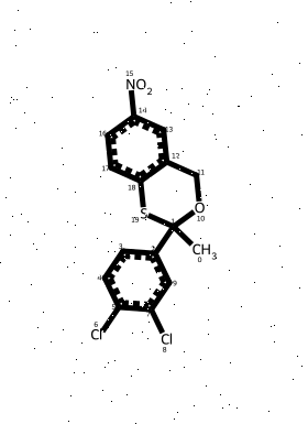 CC1(c2ccc(Cl)c(Cl)c2)OCc2cc([N+](=O)[O-])ccc2S1